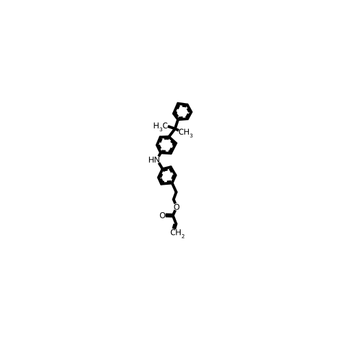 C=CC(=O)OCCc1ccc(Nc2ccc(C(C)(C)c3ccccc3)cc2)cc1